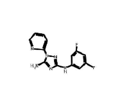 Nc1nc(Nc2cc(F)cc(F)c2)nn1-c1ccccn1